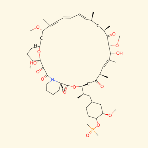 CO[C@H]1C[C@@H]2CC[C@@H](C)[C@@](O)(O2)C(=O)C(=O)N2CCCC[C@H]2C(=O)O[C@H]([C@H](C)CC2CCC(OP(C)(C)=O)[C@H](OC)C2)CC(=O)[C@H](C)/C=C(\C)[C@@H](O)[C@@H](OC)C(=O)[C@H](C)C[C@H](C)/C=C/C=C/C=C/1C